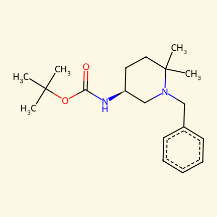 CC(C)(C)OC(=O)N[C@H]1CCC(C)(C)N(Cc2ccccc2)C1